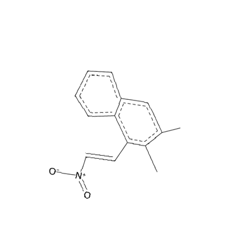 Cc1cc2ccccc2c(C=C[N+](=O)[O-])c1C